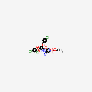 CCOC(=O)ON1CCC(C#N)(NC(=O)[C@H]2C[C@H](S(=O)(=O)c3ccc(Cl)cc3Cl)C[C@@H]2OCc2ccc(Cl)cc2)CC1